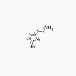 NCCc1csc(Br)n1